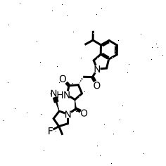 CC(C)c1cccc2c1CN(C(=O)C[C@@H]1C[C@@H](C(=O)N3CC(C)(F)C[C@H]3C#N)NC1=O)C2